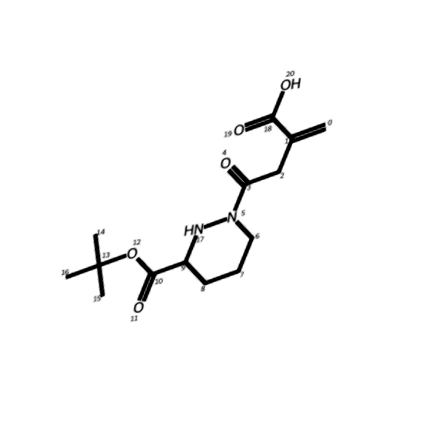 C=C(CC(=O)N1CCCC(C(=O)OC(C)(C)C)N1)C(=O)O